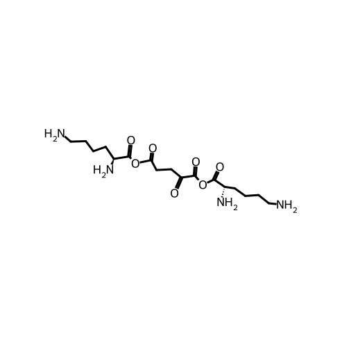 NCCCC[C@H](N)C(=O)OC(=O)CCC(=O)C(=O)OC(=O)[C@@H](N)CCCCN